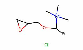 CCC(OCC1CO1)[N+](C)(C)C.[Cl-]